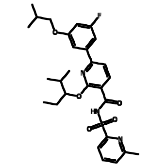 CCC(Oc1nc(-c2cc(F)cc(OCC(C)C)c2)ccc1C(=O)NS(=O)(=O)c1cccc(C)n1)C(C)C